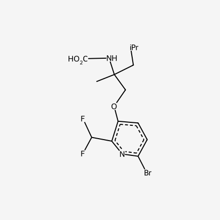 CC(C)CC(C)(COc1ccc(Br)nc1C(F)F)NC(=O)O